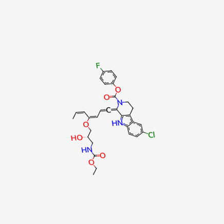 C/C=C\C(=C/C=C=C1c2[nH]c3ccc(Cl)cc3c2CCN1C(=O)Oc1ccc(F)cc1)OC[C@@H](O)CNC(=O)OCC